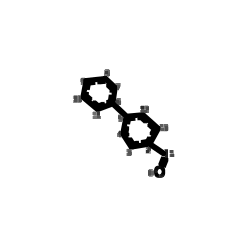 O=Ic1ccc(-c2ccccc2)cc1